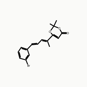 C/C(=C\C=C\c1cccc(Br)c1)C1=CC(=O)OC(C)(C)O1